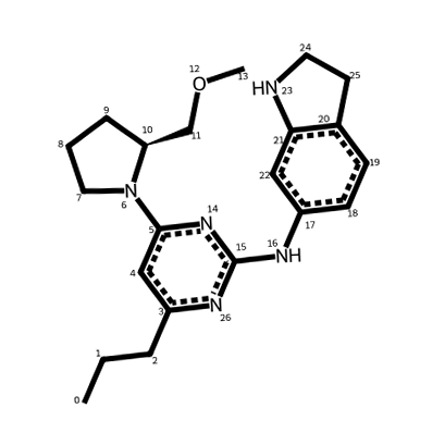 CCCc1cc(N2CCC[C@H]2COC)nc(Nc2ccc3c(c2)NCC3)n1